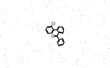 O=C(c1ccccc1)c1ccccc1-c1ccccc1Cl